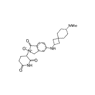 CNC1CCC2(CC1)CC(Nc1ccc3c(c1)C[N+]([O-])(C1CCC(=O)NC1=O)C3=O)C2